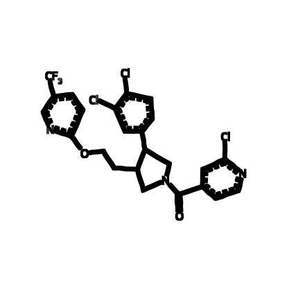 O=C(c1ccnc(Cl)c1)N1CC(CCOc2ccc(C(F)(F)F)cn2)C(c2ccc(Cl)c(Cl)c2)C1